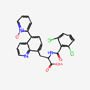 O=C(NC(Cc1ccc(-c2cccc[n+]2[O-])c2cccnc12)C(=O)O)c1c(Cl)cccc1Cl